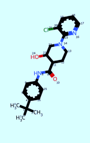 CC(C)(C)c1ccc(NC(=O)C2CCN(c3ncccc3Cl)CC2O)cc1